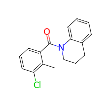 Cc1c(Cl)cccc1C(=O)N1CCCc2ccccc21